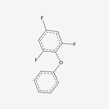 Fc1cc(F)c(Oc2c[c]ccc2)c(F)c1